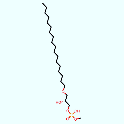 CCCCCCCCCCCCCCCCCCOC[C@@H](O)COP(=O)(O)OC